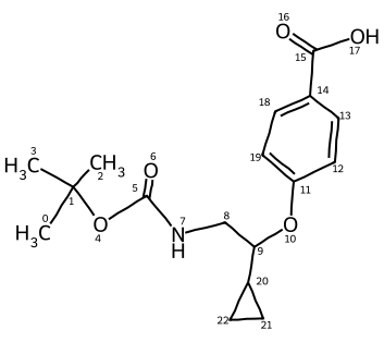 CC(C)(C)OC(=O)NCC(Oc1ccc(C(=O)O)cc1)C1CC1